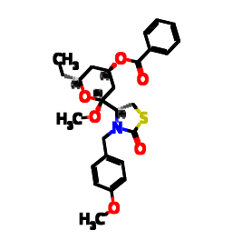 CC[C@@H]1C[C@@H](OC(=O)c2ccccc2)C[C@](OC)([C@@H]2CSC(=O)N2Cc2ccc(OC)cc2)O1